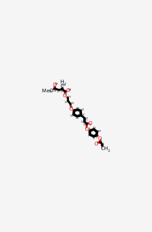 C=CC(=O)Oc1ccc(OC(=O)/C=C/c2ccc(OCCCOC(=O)C(=C)CC(=O)OC)cc2)cc1